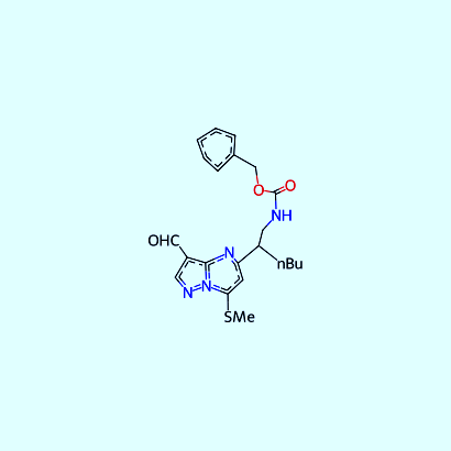 CCCCC(CNC(=O)OCc1ccccc1)c1cc(SC)n2ncc(C=O)c2n1